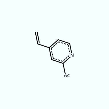 C=Cc1ccnc(C(C)=O)c1